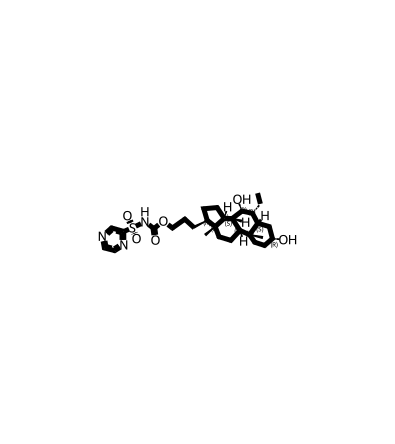 CC[C@H]1[C@@H](O)[C@@H]2[C@H](CC[C@]3(C)[C@@H](CCCOC(=O)NS(=O)(=O)c4cnccn4)CC[C@@H]23)[C@@]2(C)CC[C@@H](O)C[C@@H]12